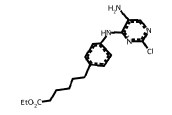 CCOC(=O)CCCCCc1ccc(Nc2nc(Cl)ncc2N)cc1